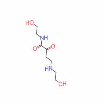 O=C(CCNCCO)C(=O)NCCO